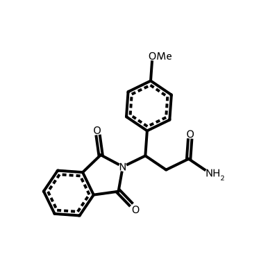 COc1ccc(C(CC(N)=O)N2C(=O)c3ccccc3C2=O)cc1